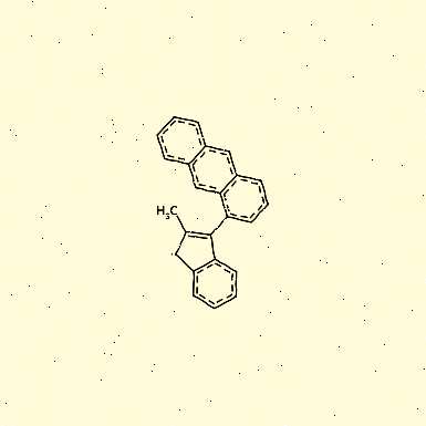 CC1=C(c2cccc3cc4ccccc4cc23)c2ccccc2[CH]1